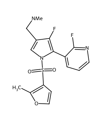 CNCc1cn(S(=O)(=O)c2ccoc2C)c(-c2cccnc2F)c1F